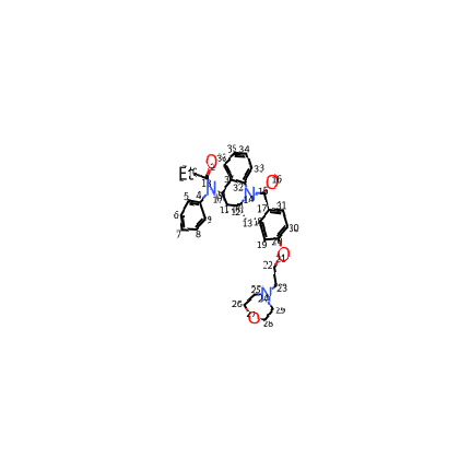 CCC(=O)N(c1ccccc1)[C@H]1C[C@@H](C)N(C(=O)c2ccc(OCCN3CCOCC3)cc2)c2ccccc21